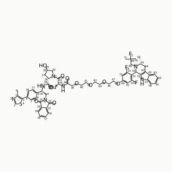 Cc1ncsc1-c1ccc([C@H](CN2C(=O)c3ccccc3C2=O)NC(=O)[C@@H]2C[C@@H](O)CN2C(=O)[C@@H](NC(=O)COCCOCCOCCOc2cc(F)c(C3c4[nH]c5ccccc5c4C[C@@H](C)N3CC(C)(C)F)c(F)c2)C(C)(C)C)cc1